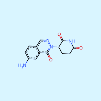 Nc1ccc2cnn(C3CCC(=O)NC3=O)c(=O)c2c1